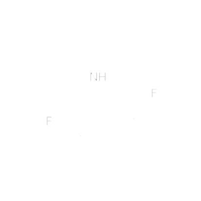 [NH]C(CF)CF